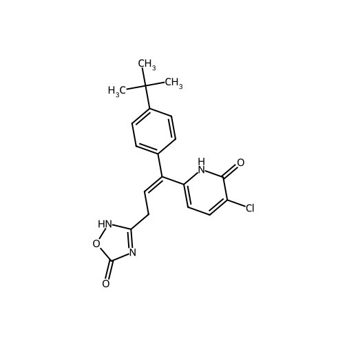 CC(C)(C)c1ccc(C(=CCc2nc(=O)o[nH]2)c2ccc(Cl)c(=O)[nH]2)cc1